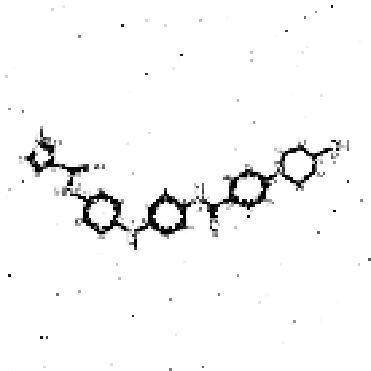 O=C(Nc1ccc(Nc2ccc(NC(=O)c3cc[nH]c3)cc2)cc1)c1ccc(N2CCC(O)CC2)cc1